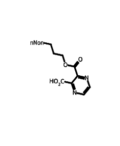 CCCCCCCCCCCCOC(=O)c1nccnc1C(=O)O